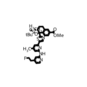 COC(=O)c1ccc2c(c1)CCCC2(O[Si](C)(C)C(C)(C)C)c1ncc(-c2cc(C)cc(Nc3cc(CCF)ccn3)n2)s1